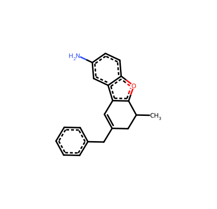 CC1CC(Cc2ccccc2)=Cc2c1oc1ccc(N)cc21